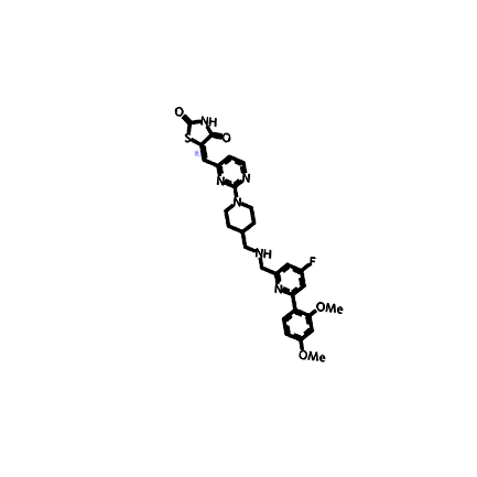 COc1ccc(-c2cc(F)cc(CNCC3CCN(c4nccc(/C=C5/SC(=O)NC5=O)n4)CC3)n2)c(OC)c1